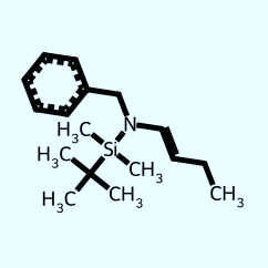 CCC=CN(Cc1ccccc1)[Si](C)(C)C(C)(C)C